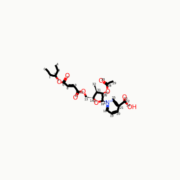 CCC(CC)OC(=O)/C=C/C(=O)OC[C@H]1O[C@@H]([n+]2cccc(C(=O)O)c2)[C@H](OC(C)=O)[C@@H]1C